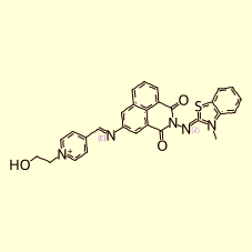 Cn1/c(=N/N2C(=O)c3cccc4cc(/N=C/c5cc[n+](CCO)cc5)cc(c34)C2=O)sc2ccccc21